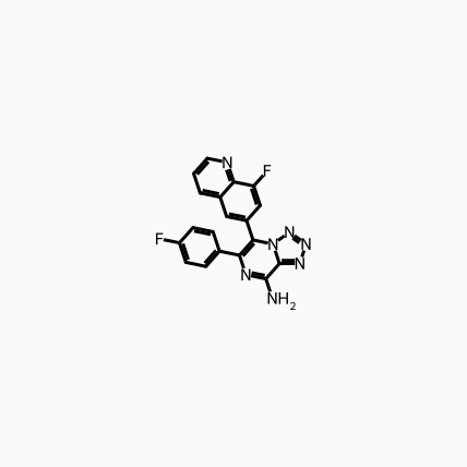 Nc1nc(-c2ccc(F)cc2)c(-c2cc(F)c3ncccc3c2)n2nnnc12